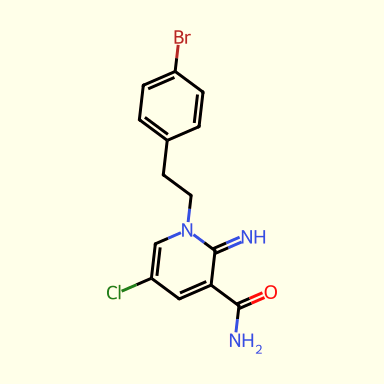 N=c1c(C(N)=O)cc(Cl)cn1CCc1ccc(Br)cc1